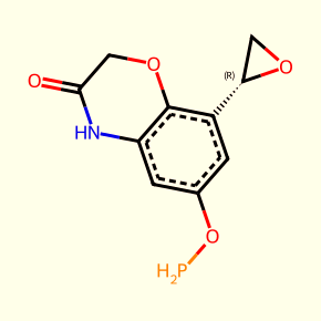 O=C1COc2c(cc(OP)cc2[C@@H]2CO2)N1